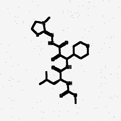 COC(=O)N[C@@H](CC(C)C)C(=O)NC(C(=O)C(=O)N/N=C1\SCCN1C)C1CCOCC1